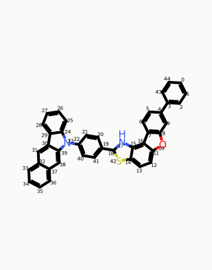 c1ccc(-c2ccc3c(c2)oc2ccc4c(c23)NC(c2ccc(-n3c5ccccc5c5cc6ccccc6cc53)cc2)S4)cc1